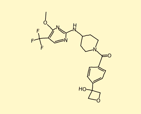 COc1nc(NC2CCN(C(=O)c3ccc(C4(O)COC4)cc3)CC2)ncc1C(F)(F)F